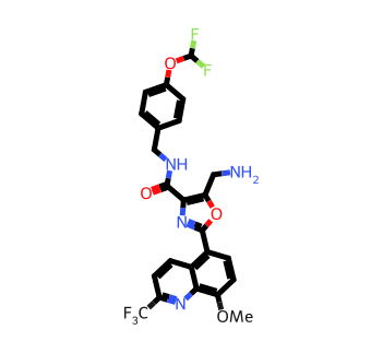 COc1ccc(-c2nc(C(=O)NCc3ccc(OC(F)F)cc3)c(CN)o2)c2ccc(C(F)(F)F)nc12